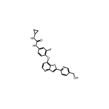 O=C(Nc1ccc(Oc2ccnc3cc(-c4ccc(CO)cn4)sc23)c(F)c1)NC1CC1